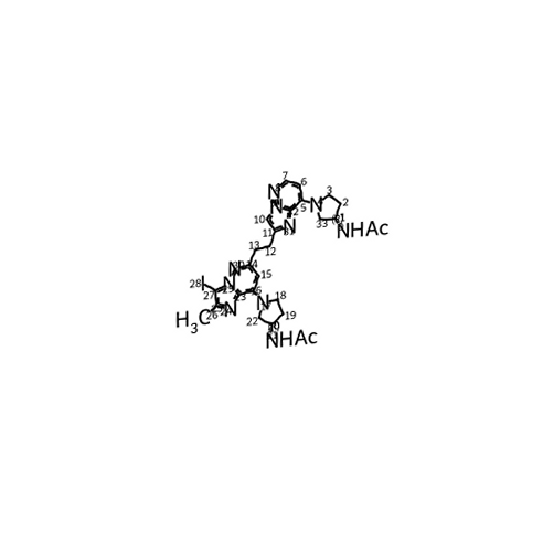 CC(=O)N[C@@H]1CCN(c2ccnn3cc(CCc4cc(N5CC[C@@H](NC(C)=O)C5)c5nc(C)c(I)n5n4)nc23)C1